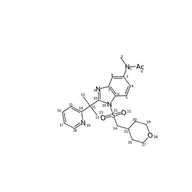 CC(=O)N(C)c1ccc2c(c1)nc(C(C)(C)c1ccccn1)n2S(=O)(=O)CC1CCOCC1